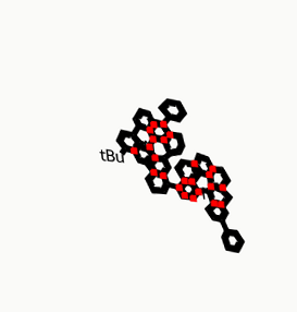 CC(C)(C)c1ccc(-c2ccccc2)c(N(c2ccc(-c3ccccc3)cc2)c2ccccc2-c2cccc3cccc(-c4cccc(-c5cccc(-c6ccc(N(c7ccc(-c8ccccc8)cc7)c7ccccc7-c7cccc8cccc(-c9ccccc9)c78)c(-c7ccccc7)c6)c5)c4)c23)c1